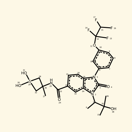 CC(n1c(=O)n(-c2cccc(OC(F)(F)C(F)F)c2)c2ccc(C(=O)NC3(C)CS(O)(O)C3)cc21)C(C)(C)O